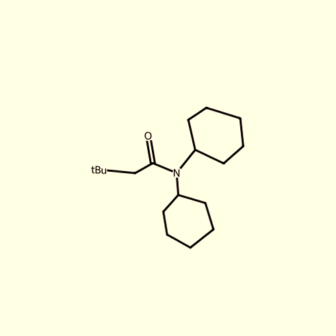 CC(C)(C)CC(=O)N(C1CCCCC1)C1CCCCC1